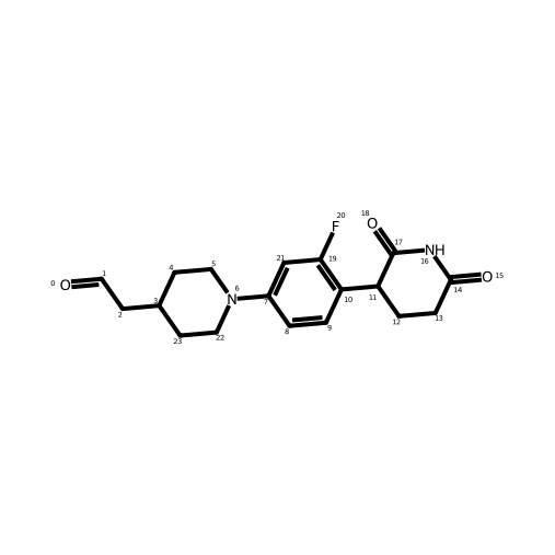 O=CCC1CCN(c2ccc(C3CCC(=O)NC3=O)c(F)c2)CC1